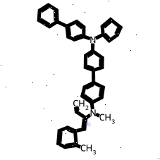 C=C/C(=C\c1ccccc1C)N(C)c1ccc(-c2ccc(N(c3ccccc3)c3ccc(-c4ccccc4)cc3)cc2)cc1